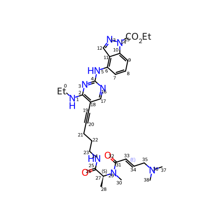 CCNc1nc(Nc2cccc3c2cnn3C(=O)OCC)ncc1C#CCCCNC(=O)[C@H](C)N(C)C(=O)/C=C/CN(C)C